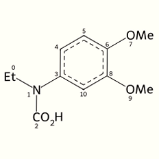 CCN(C(=O)O)c1ccc(OC)c(OC)c1